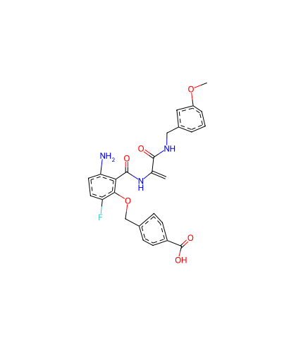 C=C(NC(=O)c1c(N)ccc(F)c1OCc1ccc(C(=O)O)cc1)C(=O)NCc1cccc(OC)c1